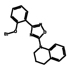 CCOc1ccccc1-c1noc(N2CCCc3ccccc32)n1